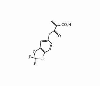 C=C(C(=O)O)C(=O)Cc1ccc2c(c1)OC(F)(F)O2